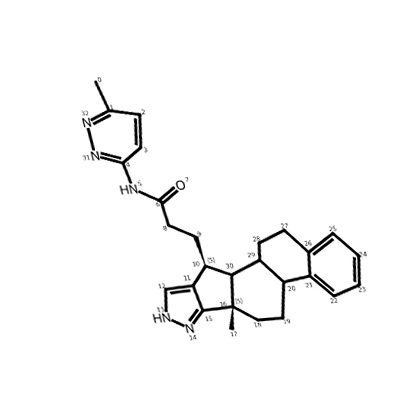 Cc1ccc(NC(=O)CC[C@@H]2c3c[nH]nc3[C@@]3(C)CCC4c5ccccc5CCC4C23)nn1